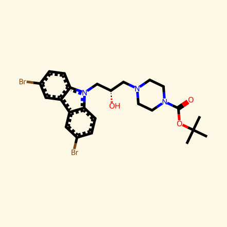 CC(C)(C)OC(=O)N1CCN(C[C@H](O)Cn2c3ccc(Br)cc3c3cc(Br)ccc32)CC1